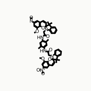 COc1cc(N=O)cc2c1OC1(C=C2)N(CC(=O)Nc2cc(C)c(NC(=O)CN3c4ccccc4C(C)(C)C34C=Cc3cc([N+](=O)[O-])cc(OC)c3O4)cc2C)c2ccccc2C1(C)C